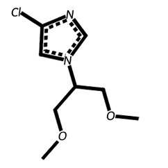 COCC(COC)n1cnc(Cl)c1